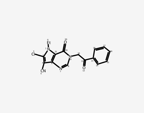 CCn1c(Cl)c(C#N)c2ncn(CC(=O)c3ccccc3)c(=O)c21